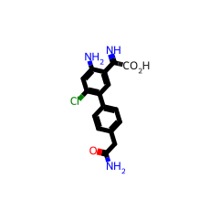 N=C(C(=O)O)c1cc(-c2ccc(CC(N)=O)cc2)c(Cl)cc1N